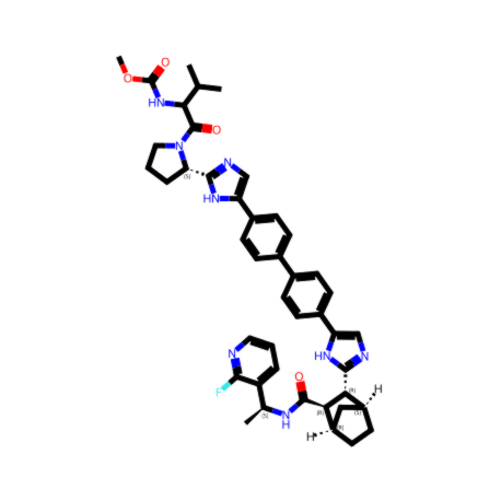 COC(=O)NC(C(=O)N1CCC[C@H]1c1ncc(-c2ccc(-c3ccc(-c4cnc([C@@H]5[C@H]6CC[C@H](C6)[C@H]5C(=O)N[C@@H](C)c5cccnc5F)[nH]4)cc3)cc2)[nH]1)C(C)C